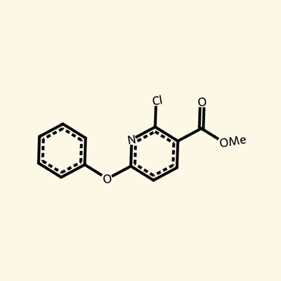 COC(=O)c1ccc(Oc2ccccc2)nc1Cl